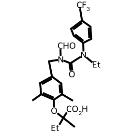 CCN(C(=O)N(C=O)Cc1cc(C)c(OC(C)(CC)C(=O)O)c(C)c1)c1ccc(C(F)(F)F)cc1